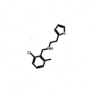 Cc1cccc(Cl)c1CNCCc1cccs1